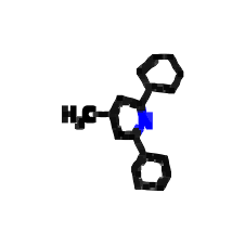 Cc1cc(C2=CCCC=C2)nc(-c2ccccc2)c1